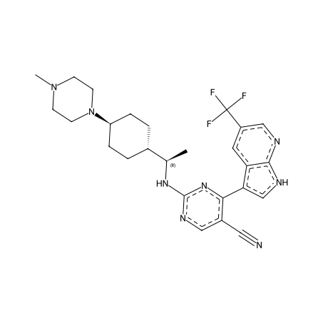 C[C@@H](Nc1ncc(C#N)c(-c2c[nH]c3ncc(C(F)(F)F)cc23)n1)[C@H]1CC[C@H](N2CCN(C)CC2)CC1